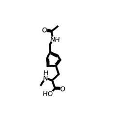 CNC(Cc1ccc(CNC(C)=O)cc1)C(=O)O